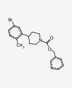 Cc1ccc(Br)cc1C1CCN(C(=O)OCc2ccccc2)CC1